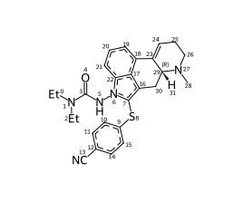 CCN(CC)C(=O)Nn1c(Sc2ccc(C#N)cc2)c2c3c(cccc31)C1=CCCN(C)[C@@H]1C2